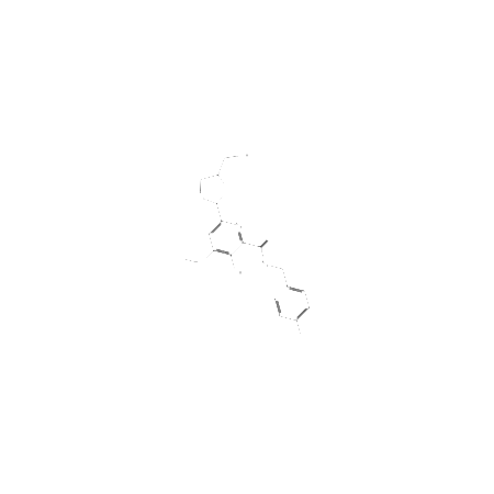 COc1cc(C2OCC(CO)O2)nc(C(=O)NCc2ccc(F)cc2)c1O